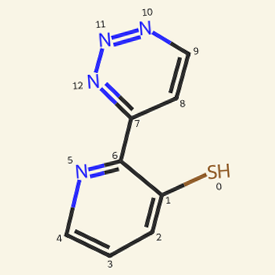 Sc1cccnc1-c1ccnnn1